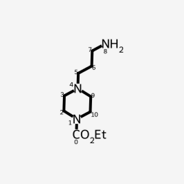 CCOC(=O)N1CCN(CCCN)CC1